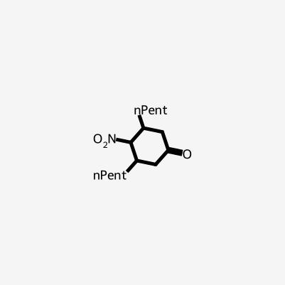 CCCCCC1CC(=O)CC(CCCCC)C1[N+](=O)[O-]